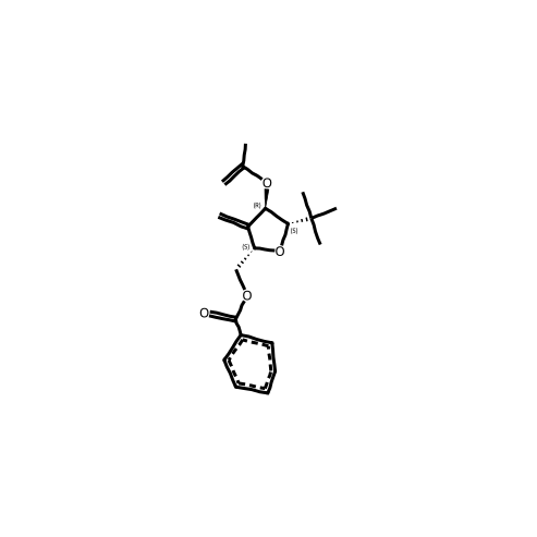 C=C(C)O[C@@H]1C(=C)[C@@H](COC(=O)c2ccccc2)O[C@H]1C(C)(C)C